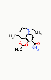 CCCc1cccc(C(N)=O)c1OC(C)=O.CCNCC